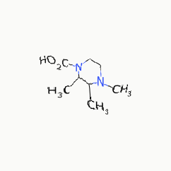 CC1C(C)N(C(=O)O)CCN1C